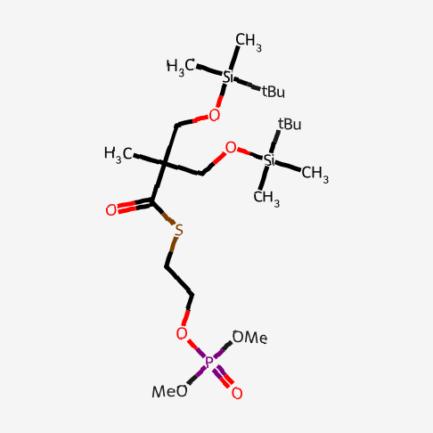 COP(=O)(OC)OCCSC(=O)C(C)(CO[Si](C)(C)C(C)(C)C)CO[Si](C)(C)C(C)(C)C